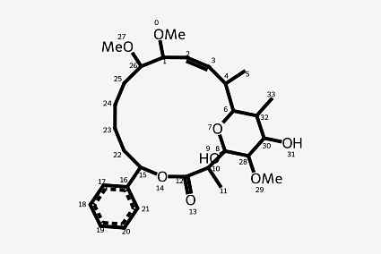 COC1C=CC(C)C2OC(O)(C(C)C(=O)OC(c3ccccc3)CCCCC1OC)C(OC)C(O)C2C